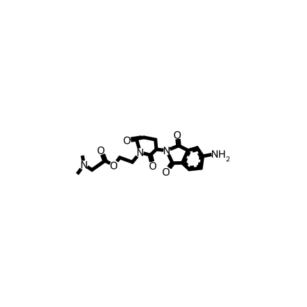 CN(C)CC(=O)OCCN1C(=O)CCC(N2C(=O)c3ccc(N)cc3C2=O)C1=O